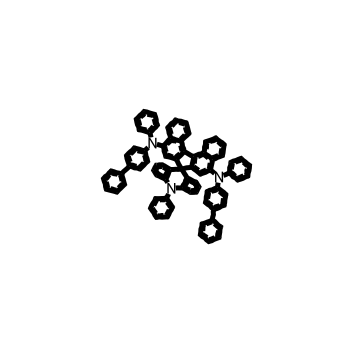 c1ccc(-c2ccc(N(c3ccccc3)c3cc4c(c5ccccc35)-c3c(cc(N(c5ccccc5)c5ccc(-c6ccccc6)cc5)c5ccccc35)C43c4ccccc4N(c4ccccc4)c4ccccc43)cc2)cc1